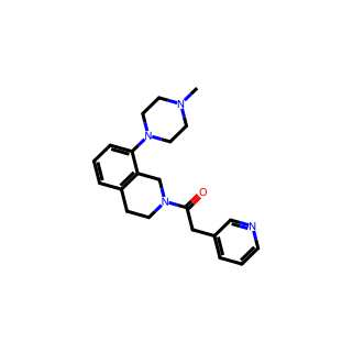 CN1CCN(c2cccc3c2CN(C(=O)Cc2cccnc2)CC3)CC1